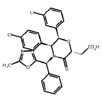 Cc1nnc([C@H](c2ccccc2)N2C(=O)[C@@H](CC(=O)O)O[C@H](c3cccc(Cl)c3)[C@@H]2c2ccc(Cl)cc2)o1